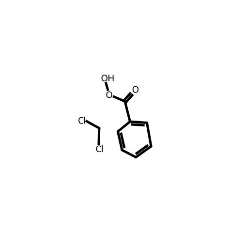 ClCCl.O=C(OO)c1ccccc1